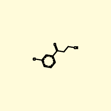 N#CCCC(=O)c1cccc(Cl)c1